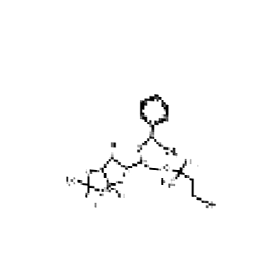 CC(O[C@@H](COC(C)(C)CCO)[C@H]1O[C@@H]2OC(C)(C)OC2C1O)c1ccccc1